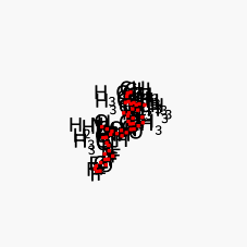 CC[C@H](C)[C@@H]([C@@H](CC(=O)N1CCC[C@H]1[C@H](OC)[C@@H](C)C(=O)N[C@@H](Cc1ccccn1)C(=O)NCc1ccc(NC(=O)[C@H](CCCNC(N)=O)NC(=O)[C@@H](NC(=O)CCCN2CCC(C(=O)Oc3c(F)c(F)c(F)c(F)c3F)CC2C(F)(F)F)C(C)C)cc1)OC)N(C)C(=O)[C@@H](NC(=O)[C@H](C(C)C)N(C)C)C(C)C